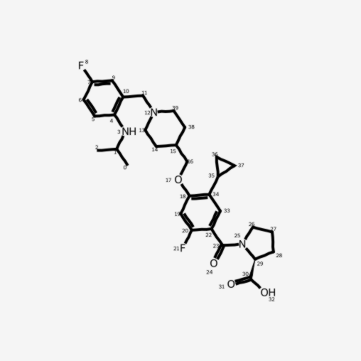 CC(C)Nc1ccc(F)cc1CN1CCC(COc2cc(F)c(C(=O)N3CCC[C@H]3C(=O)O)cc2C2CC2)CC1